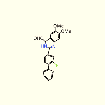 COc1cc2c(cc1OC)C(C=O)NC(c1ccc(-c3ccccc3)c(F)c1)=N2